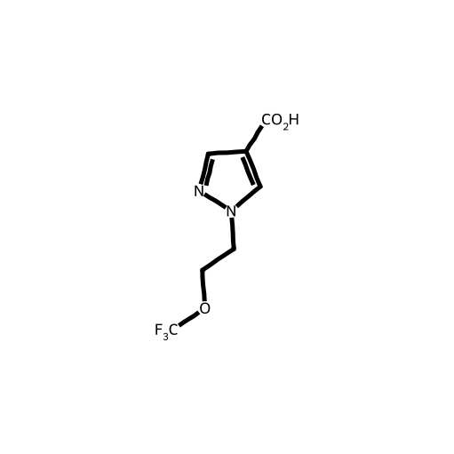 O=C(O)c1cnn(CCOC(F)(F)F)c1